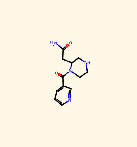 NC(=O)CC1CNCCN1C(=O)c1cccnc1